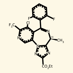 CCOC(=O)c1nc2n(n1)-c1cnc(C(F)(F)F)c(Cl)c1C(c1c(F)cccc1F)=N[C@H]2C